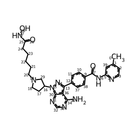 Cc1ccnc(NC(=O)c2ccc(-c3nn(C4CCN(CCCCCC(=O)NO)C4)c4ncnc(N)c34)cc2)c1